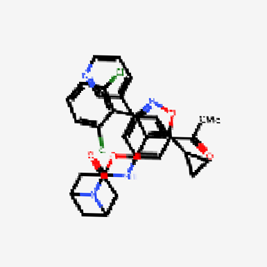 COC(=O)c1cc(NC(=O)N2C3CC(OCc4c(-c5c(Cl)cccc5Cl)noc4C4CC4)CC2C3)cc(-c2cccnc2)c1